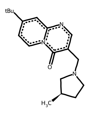 C[C@@H]1CCN(Cc2cnc3cc(C(C)(C)C)ccn3c2=O)C1